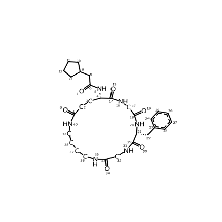 O=C1CC[C@H](NC(=O)CC2CCCC2)C(=O)NCC(=O)N[C@H](Cc2ccccc2)C(=O)NCC(=O)NCCCCN1